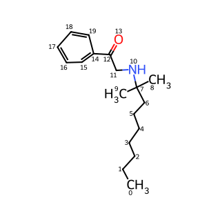 CCCCCCCC(C)(C)NCC(=O)c1ccccc1